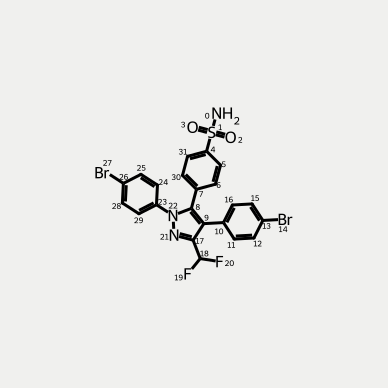 NS(=O)(=O)c1ccc(-c2c(-c3ccc(Br)cc3)c(C(F)F)nn2-c2ccc(Br)cc2)cc1